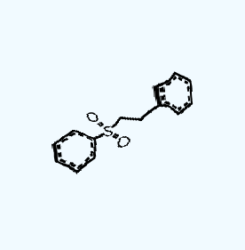 O=S(=O)(CCc1ccccc1)c1ccccc1